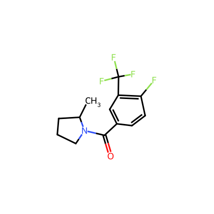 CC1CCCN1C(=O)c1ccc(F)c(C(F)(F)F)c1